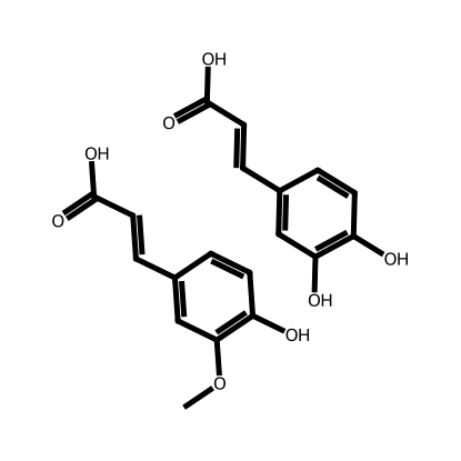 COc1cc(C=CC(=O)O)ccc1O.O=C(O)C=Cc1ccc(O)c(O)c1